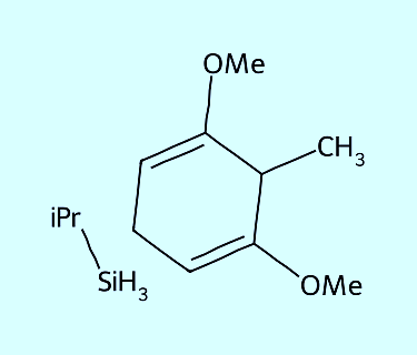 CC(C)[SiH3].COC1=CCC=C(OC)C1C